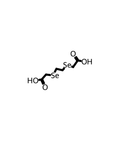 O=C(O)C[Se]CC[Se]CC(=O)O